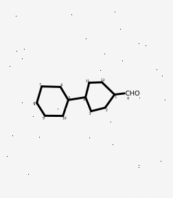 O=CC1CCC(C2CC[CH]CC2)CC1